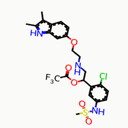 Cc1[nH]c2cc(OCCNCC(OC(=O)C(F)(F)F)c3cc(NS(C)(=O)=O)ccc3Cl)ccc2c1C